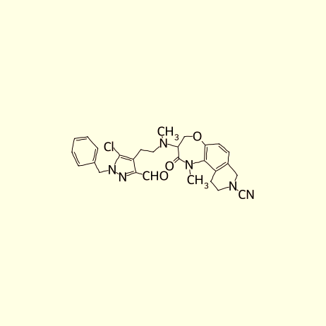 CN1C(=O)C(N(C)CCc2c(C=O)nn(Cc3ccccc3)c2Cl)COc2ccc3c(c21)CCN(C#N)C3